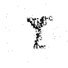 CCCCCCCCCCCCCCCC(=O)OC[C@H](CSC[C@H](N)C(=O)O[C]=O)OC(=O)CCCCCCCCCCCCCCC